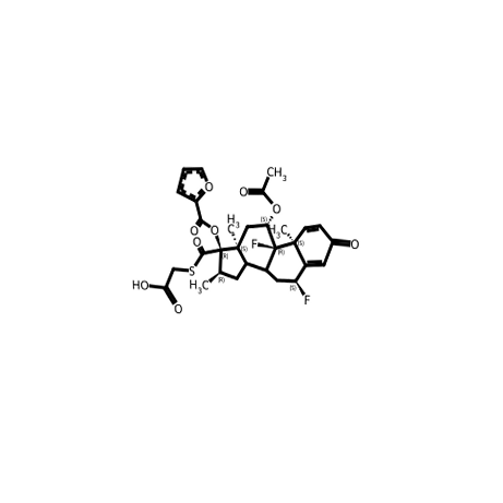 CC(=O)O[C@H]1C[C@@]2(C)C(C[C@@H](C)[C@]2(OC(=O)c2ccco2)C(=O)SCC(=O)O)C2C[C@H](F)C3=CC(=O)C=C[C@]3(C)[C@]21F